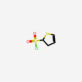 O=S(=O)(Cl)C1CC=CS1